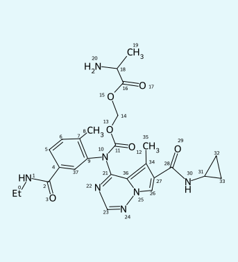 CCNC(=O)c1ccc(C)c(N(C(=O)OCOC(=O)C(C)N)c2ncnn3cc(C(=O)NC4CC4)c(C)c23)c1